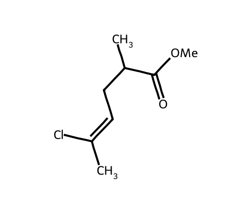 COC(=O)C(C)C/C=C(/C)Cl